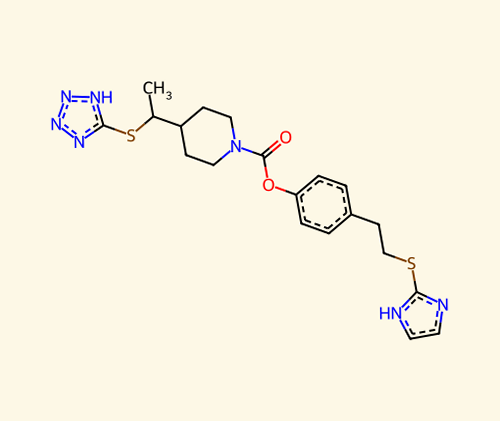 CC(Sc1nnn[nH]1)C1CCN(C(=O)Oc2ccc(CCSc3ncc[nH]3)cc2)CC1